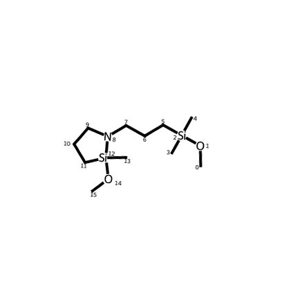 CO[Si](C)(C)CCCN1CCC[Si]1(C)OC